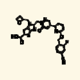 N#Cc1ccc(COc2cccc(-c3cnn(Cc4nc5sc(C(=O)O)cc5n4CC4CCO4)c(=O)c3)n2)c(F)c1